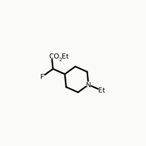 CCOC(=O)C(F)C1CCN(CC)CC1